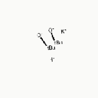 CC(C)(C)[O-].CC(C)(C)[O-].[I+].[K+]